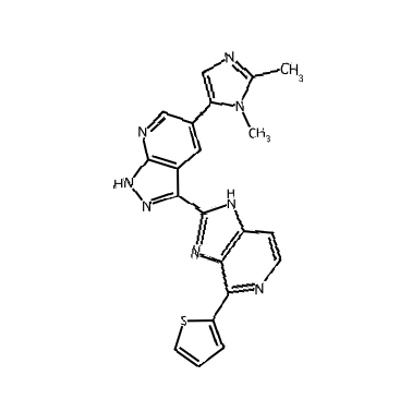 Cc1ncc(-c2cnc3[nH]nc(-c4nc5c(-c6cccs6)nccc5[nH]4)c3c2)n1C